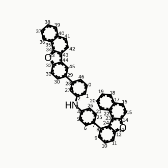 c1cc(Nc2ccc(-c3cccc4oc5ccc6ccccc6c5c34)cc2)cc(-c2ccc3oc4c5ccccc5ccc4c3c2)c1